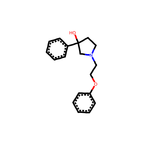 OC1(c2ccccc2)CCN(CCOc2ccccc2)C1